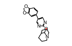 c1cc2c(cc1-c1cnc(OC3C4CCCN3CCC4)nc1)OCO2